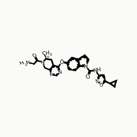 C[C@H]1Cc2c(ncnc2Oc2ccc3c(ccn3C(=O)Nc3cc(C4CC4)on3)c2)CN1C(=O)CN